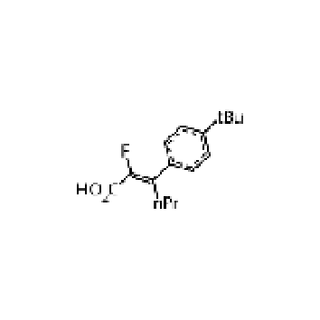 CCC/C(=C(/F)C(=O)O)c1ccc(C(C)(C)C)cc1